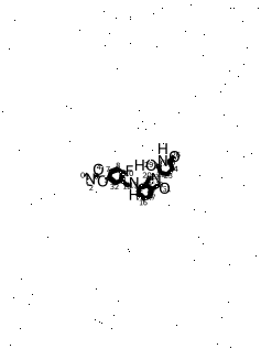 CN(C)C(=O)Oc1ccc(F)c(CNc2cccc3c2CN(C2CCC(=O)NC2O)C3=O)c1